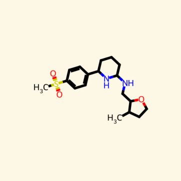 CC1CCOC1CNC1CCCC(c2ccc(S(C)(=O)=O)cc2)N1